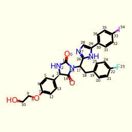 O=C1N[C@H](c2ccc(OCCO)cc2)C(=O)N1C(Cc1ccc(F)cc1)c1ncc(-c2ccc(I)cc2)[nH]1